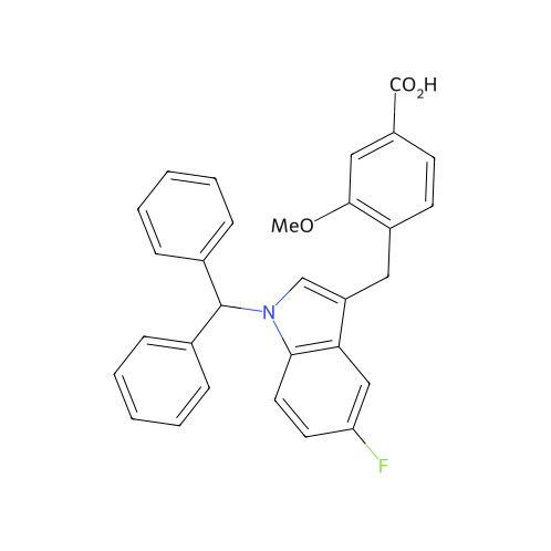 COc1cc(C(=O)O)ccc1Cc1cn(C(c2ccccc2)c2ccccc2)c2ccc(F)cc12